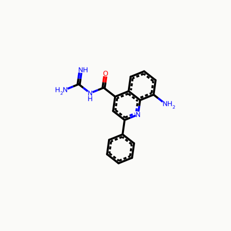 N=C(N)NC(=O)c1cc(-c2ccccc2)nc2c(N)cccc12